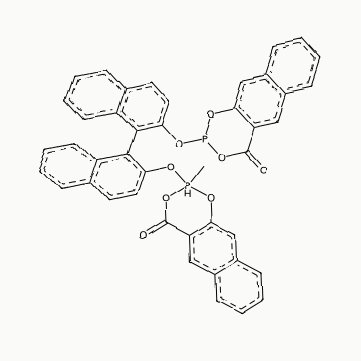 C[PH]1(Oc2ccc3ccccc3c2-c2c(OP3OC(=O)c4cc5ccccc5cc4O3)ccc3ccccc23)OC(=O)c2cc3ccccc3cc2O1